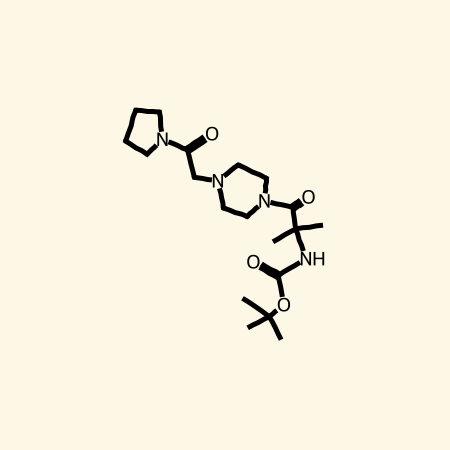 CC(C)(C)OC(=O)NC(C)(C)C(=O)N1CCN(CC(=O)N2CCCC2)CC1